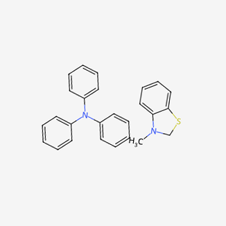 CN1CSc2ccccc21.c1ccc(N(c2ccccc2)c2ccccc2)cc1